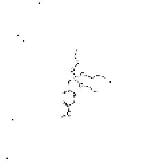 CCCO[Si](Cc1ccc(OC)cc1)(OCCC)OCCC